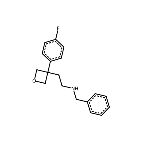 Fc1ccc(C2(CCNCc3ccccc3)COC2)cc1